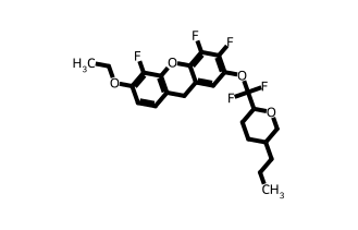 CCCC1CCC(C(F)(F)Oc2cc3c(c(F)c2F)Oc2c(ccc(OCC)c2F)C3)OC1